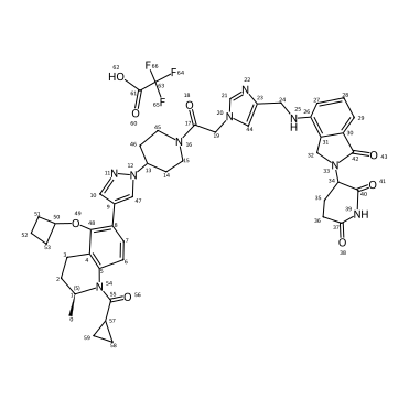 C[C@H]1CCc2c(ccc(-c3cnn(C4CCN(C(=O)Cn5cnc(CNc6cccc7c6CN(C6CCC(=O)NC6=O)C7=O)c5)CC4)c3)c2OC2CCC2)N1C(=O)C1CC1.O=C(O)C(F)(F)F